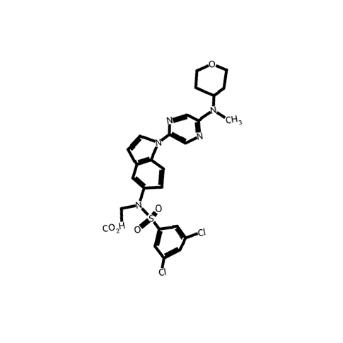 CN(c1cnc(-n2ccc3cc(N(CC(=O)O)S(=O)(=O)c4cc(Cl)cc(Cl)c4)ccc32)cn1)C1CCOCC1